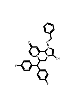 N#CC1=CN(OCc2ccccc2)C2c3cc(=O)cnn3C(C(c3ccc(F)cc3)c3ccc(F)cc3)CN12